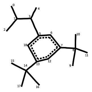 CC(C)C(C)c1cc(C(C)(C)C)cc(C(C)(C)C)c1